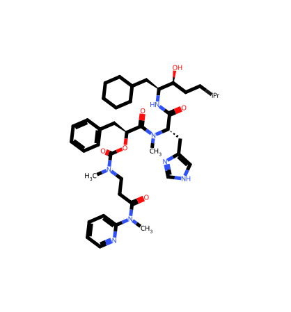 CC(C)CC[C@H](O)[C@H](CC1CCCCC1)NC(=O)[C@H](Cc1c[nH]cn1)N(C)C(=O)[C@H](Cc1ccccc1)OC(=O)N(C)CCC(=O)N(C)c1ccccn1